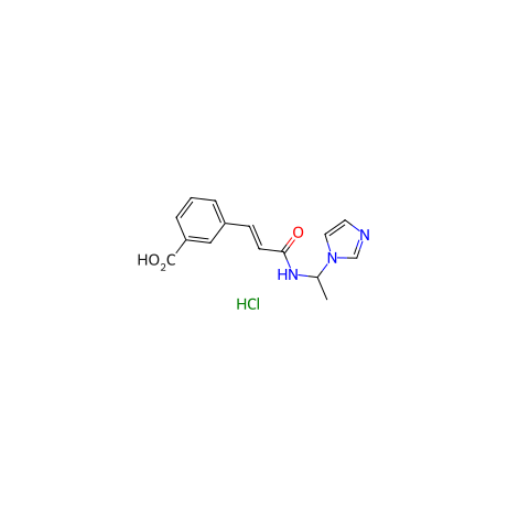 CC(NC(=O)C=Cc1cccc(C(=O)O)c1)n1ccnc1.Cl